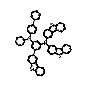 c1ccc(-c2ccc(N(c3ccccc3)c3cc(-c4ccc5sc6ccccc6c5c4)cc(N(c4ccc5sc6ccccc6c5c4)c4ccc5sc6ccccc6c5c4)c3)cc2)cc1